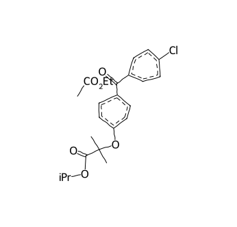 CC(C)OC(=O)C(C)(C)Oc1ccc(C(=O)c2ccc(Cl)cc2)cc1.CCOC(C)=O